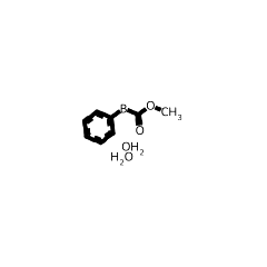 COC(=O)[B]c1ccccc1.O.O